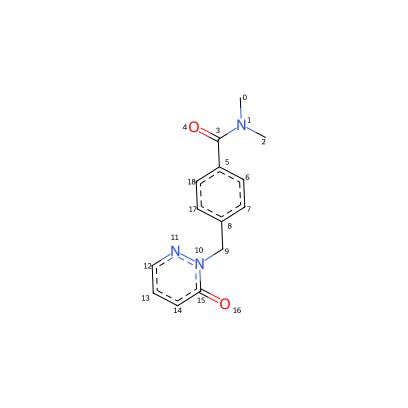 CN(C)C(=O)c1ccc(Cn2ncccc2=O)cc1